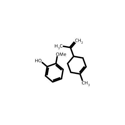 C=C(C)C1CC=C(C)CC1.COc1ccccc1O